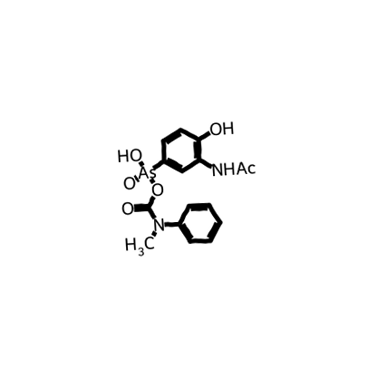 CC(=O)Nc1cc([As](=O)(O)OC(=O)N(C)c2ccccc2)ccc1O